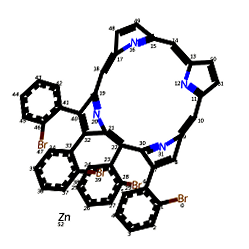 Brc1ccccc1C1=CC2=CC3=NC(=CC4=NC(=CC5=NC(=C(c6ccccc6Br)C1=N2)C(c1ccccc1Br)=C5c1ccccc1Br)C=C4)C=C3.[Zn]